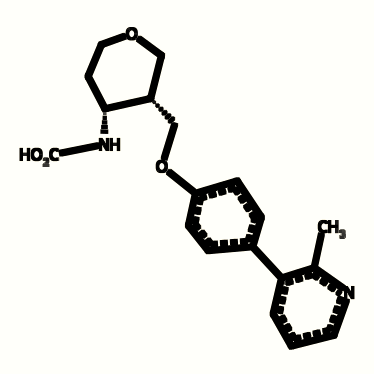 Cc1ncccc1-c1ccc(OC[C@H]2COCC[C@H]2NC(=O)O)cc1